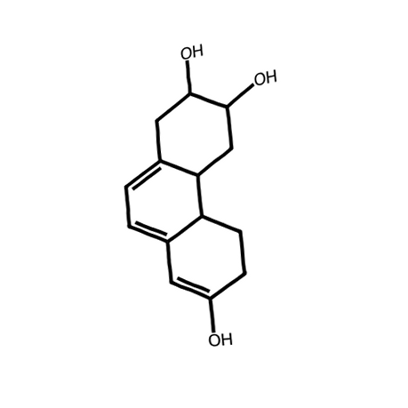 OC1=CC2=CC=C3CC(O)C(O)CC3C2CC1